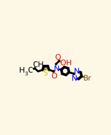 CC(C)Cc1ccc(C(=O)N(CC(=O)O)c2ccc(-c3ncc(Br)cn3)cc2)s1